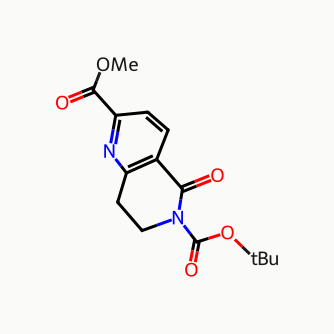 COC(=O)c1ccc2c(n1)CCN(C(=O)OC(C)(C)C)C2=O